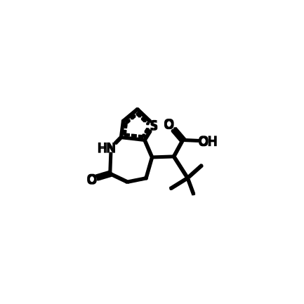 CC(C)(C)C(C(=O)O)C1CCC(=O)Nc2ccsc21